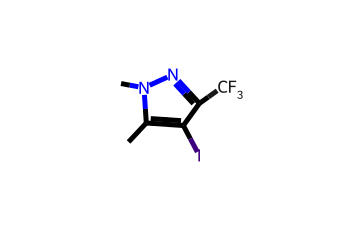 Cc1c(I)c(C(F)(F)F)nn1C